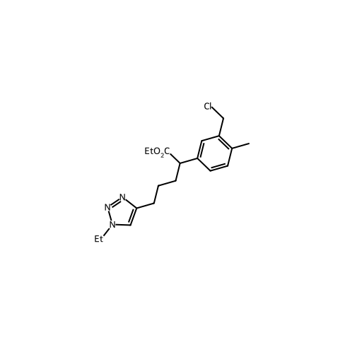 CCOC(=O)C(CCCc1cn(CC)nn1)c1ccc(C)c(CCl)c1